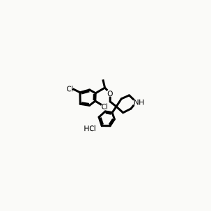 CC(OCC1(c2ccccc2)CCNCC1)c1cc(Cl)ccc1Cl.Cl